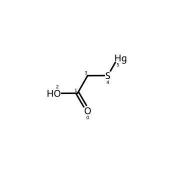 O=C(O)C[S][Hg]